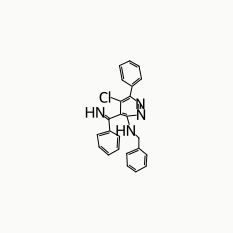 N=C(c1ccccc1)c1c(NCc2ccccc2)nnc(-c2ccccc2)c1Cl